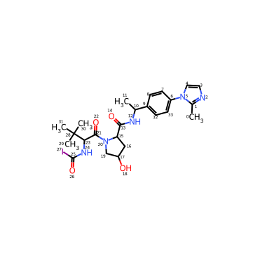 Cc1nccn1-c1ccc(C(C)NC(=O)C2CC(O)CN2C(=O)C(NC(=O)I)C(C)(C)C)cc1